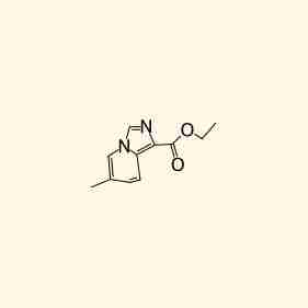 CCOC(=O)c1ncn2cc(C)ccc12